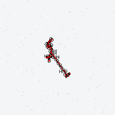 CC[C@@]1(OC(=O)OCc2ccc(NC(=O)[C@H](CCCCNC(c3ccccc3)(c3ccccc3)c3ccc(OC)cc3)NC(=O)COCC(=O)NCCOCCOCCOCCOCCOCCOCCNC(=O)CCC(=O)N3Cc4ccccc4C#Cc4ccccc43)cc2)C(=O)OCc2c1cc1n(c2=O)Cc2cc3cc4c(cc3nc2-1)OCO4